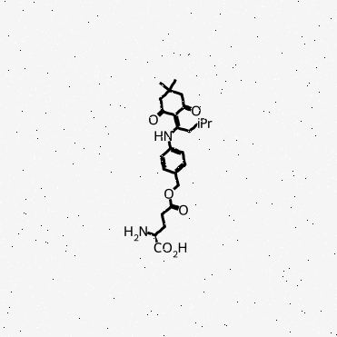 CC(C)CC(Nc1ccc(COC(=O)CC[C@H](N)C(=O)O)cc1)=C1C(=O)CC(C)(C)CC1=O